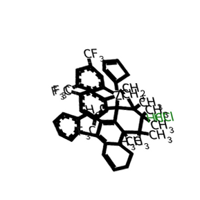 Cl.Cl.[CH2]=[Zr]([C]1=CC=CC1)([c]1cc(C(F)(F)F)cc(C(F)(F)F)c1)([c]1cc(C(F)(F)F)cc(C(F)(F)F)c1)[C]1(C)C2=C3Cc4ccccc4C3=C3C=CCCC3C2(C)C(C)(C)C(C)(C)C1(C)C